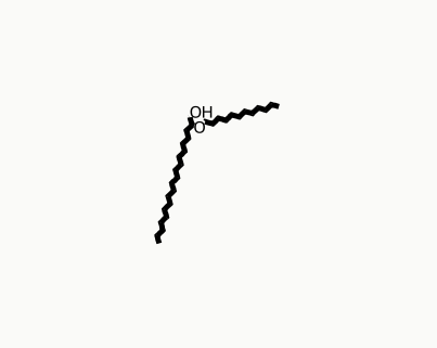 CCCCCCCCCCCCCCCCCCC(CO)OCCCCCCCCCCCC